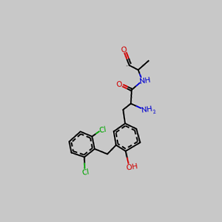 CC([C]=O)NC(=O)C(N)Cc1ccc(O)c(Cc2c(Cl)cccc2Cl)c1